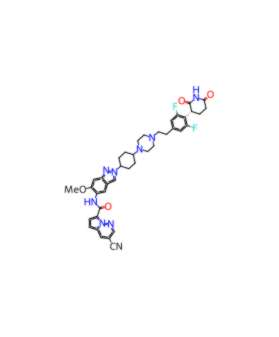 COc1cc2nn(C3CCC(N4CCN(CCc5cc(F)c([C@H]6CCC(=O)NC6=O)c(F)c5)CC4)CC3)cc2cc1NC(=O)c1ccc2cc(C#N)cnn12